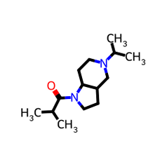 CC(C)C(=O)N1CCC2CN(C(C)C)CCC21